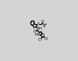 CN(C)C(=O)CS[C@@H]1c2ccccc2C[C@H]1NC(=O)c1cc2sc(Cl)c(Cl)c2[nH]1